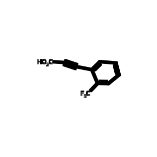 O=C(O)C#Cc1ccccc1C(F)(F)F